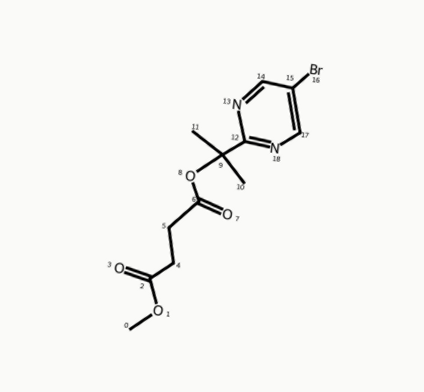 COC(=O)CCC(=O)OC(C)(C)c1ncc(Br)cn1